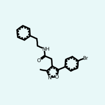 Cc1noc(-c2ccc(Br)cc2)c1CC(=O)NCCc1ccccc1